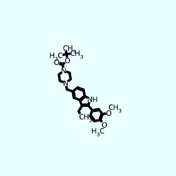 CCc1c(-c2ccc(OC)c(OC)c2)[nH]c2ccc(CN3CCN(C(=O)OC(C)(C)C)CC3)cc12